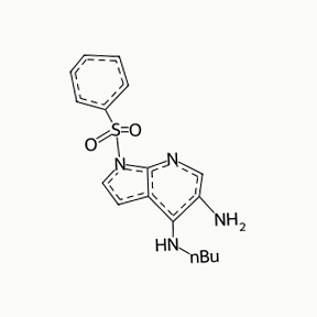 CCCCNc1c(N)cnc2c1ccn2S(=O)(=O)c1ccccc1